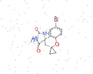 O=C1NC(=O)C2(CC3(CC3)Oc3ccc(Br)cc32)N1